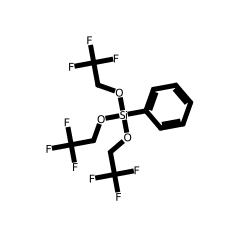 FC(F)(F)CO[Si](OCC(F)(F)F)(OCC(F)(F)F)c1ccccc1